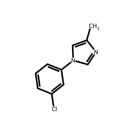 Cc1cn(-c2cccc(Cl)c2)cn1